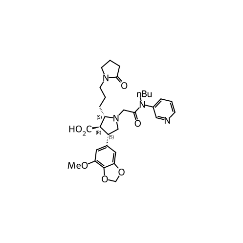 CCCCN(C(=O)CN1C[C@H](c2cc(OC)c3c(c2)OCO3)[C@@H](C(=O)O)[C@@H]1CCCN1CCCC1=O)c1cccnc1